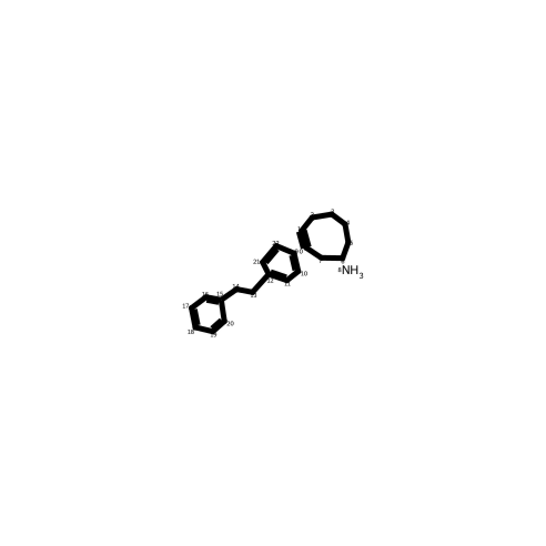 C1#CCCCCCC1.N.c1ccc(CCc2ccccc2)cc1